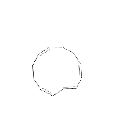 [C]1=C\CC\C=C/C=C/C=C\CC/1